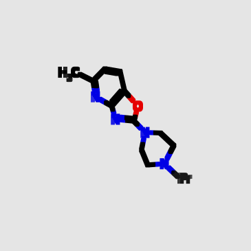 Cc1ccc2oc(N3CCN(C(C)C)CC3)nc2n1